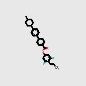 CC1CCC(c2ccc(-c3ccc(C(=O)Oc4cc(F)c(/C=C/C(F)(F)F)c(F)c4)cc3)cc2)CC1